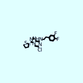 Fc1ccc(CCNc2nc(Cl)cn3c([C@@H]4CCCS4)nnc23)cc1F